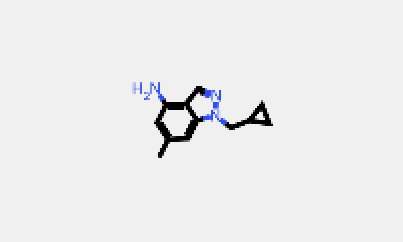 Cc1cc(N)c2cnn(CC3CC3)c2c1